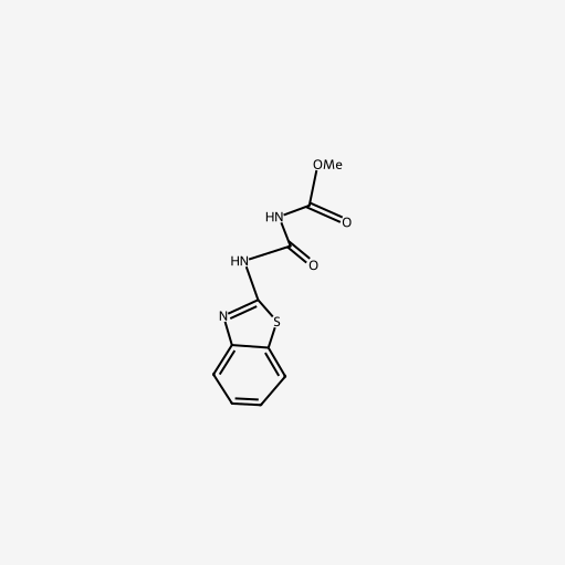 COC(=O)NC(=O)Nc1nc2ccccc2s1